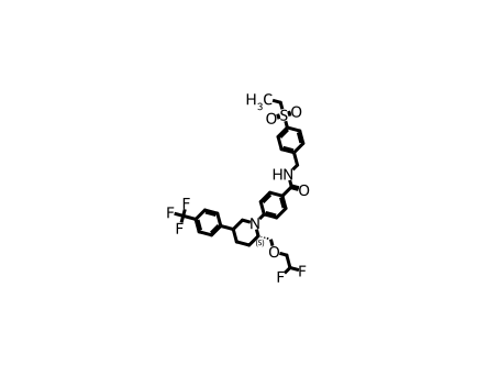 CCS(=O)(=O)c1ccc(CNC(=O)c2ccc(N3CC(c4ccc(C(F)(F)F)cc4)CC[C@H]3COCC(F)F)cc2)cc1